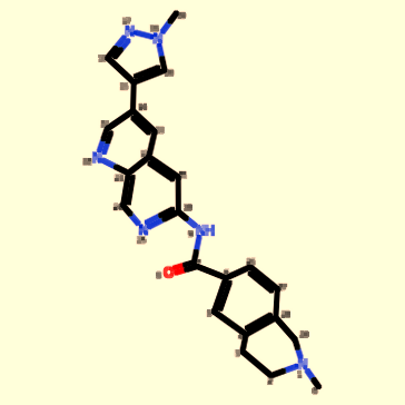 CN1CCc2cc(C(=O)Nc3cc4cc(-c5cnn(C)c5)cnc4cn3)ccc2C1